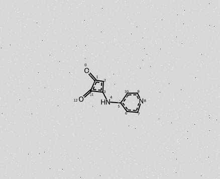 O=c1cc(Nc2ccncc2)c1=O